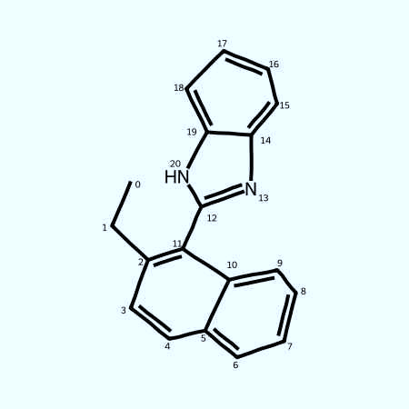 CCc1ccc2ccccc2c1-c1nc2ccccc2[nH]1